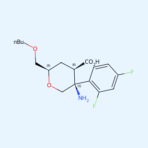 CCCCOC[C@H]1C[C@@H](C(=O)O)[C@](N)(c2ccc(F)cc2F)CO1